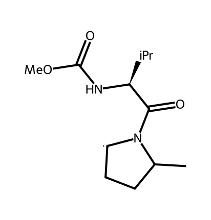 COC(=O)N[C@H](C(=O)N1[CH]CCC1C)C(C)C